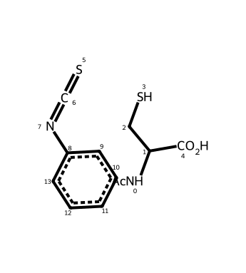 CC(=O)NC(CS)C(=O)O.S=C=Nc1ccccc1